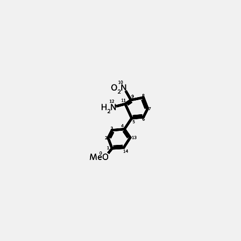 COc1ccc(-c2cccc([N+](=O)[O-])c2N)cc1